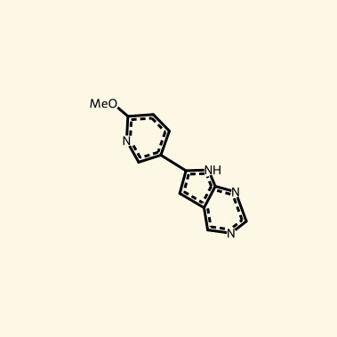 COc1ccc(-c2cc3cncnc3[nH]2)cn1